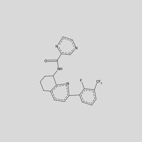 O=C(NC1CCCc2ccc(-c3cccc(C(F)(F)F)c3F)nc21)c1cnccn1